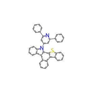 c1ccc(-c2cc(-n3c4ccccc4c4c5ccccc5c5c6ccccc6sc5c43)cc(-c3ccccc3)n2)cc1